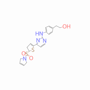 O=S(=O)(C1CC=C(c2ccnc(Nc3ccc(CCO)cc3)n2)S1)N1CC=CC1